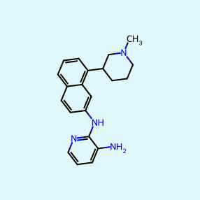 CN1CCCC(c2cccc3ccc(Nc4ncccc4N)cc23)C1